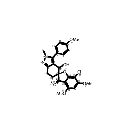 COc1ccc(-c2c3c(nn2C)C[C@@H](C)[C@]2(Oc4c(Cl)c(OC)cc(OC)c4C2=O)C3O)cc1